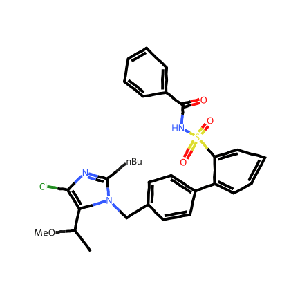 CCCCc1nc(Cl)c(C(C)OC)n1Cc1ccc(-c2ccccc2S(=O)(=O)NC(=O)c2ccccc2)cc1